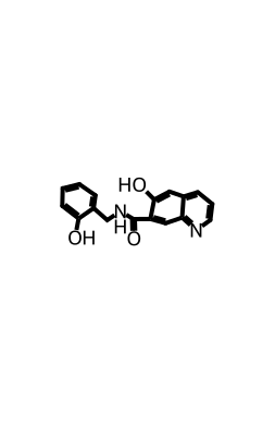 O=C(NCc1ccccc1O)c1cc2ncccc2cc1O